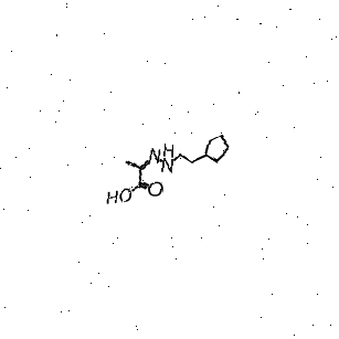 CC(=NNCCC1CCCC1)C(=O)O